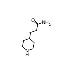 NC(=O)C[CH]C1CCNCC1